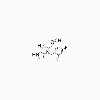 COCC(C)N(Cc1ccc(F)cc1Cl)C1CCNC1